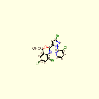 O=CC1OC(c2cc(Br)nn2-c2ncccc2Cl)=Nc2c(Br)cc(Cl)cc21